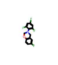 Fc1cc(F)c(N2COc3ccc(F)cc3C2)c(F)c1